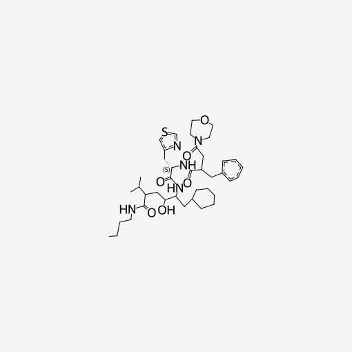 CCCCNC(=O)C(CC(O)C(CC1CCCCC1)NC(=O)[C@H](Cc1cscn1)NC(=O)C(CC(=O)N1CCOCC1)Cc1ccccc1)C(C)C